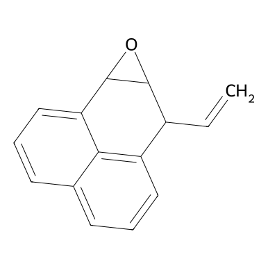 C=CC1c2cccc3cccc(c23)C2OC12